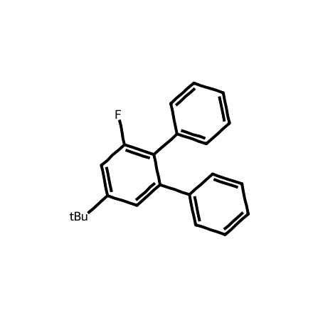 CC(C)(C)c1cc(F)c(-c2ccccc2)c(-c2ccccc2)c1